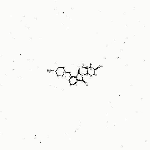 NC1CCN(Cc2cccc3c2C(=O)N(C2CCC(=O)NC2=O)C3=O)CC1